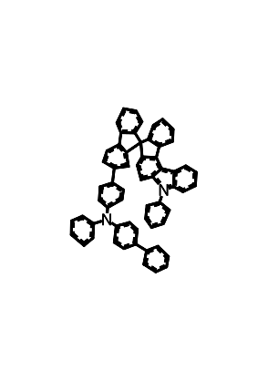 c1ccc(-c2ccc(N(c3ccccc3)c3ccc(-c4ccc5c(c4)C4(c6ccccc6-5)c5ccccc5-c5c4ccc4c5c5ccccc5n4-c4ccccc4)cc3)cc2)cc1